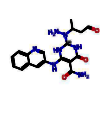 CC(CC=O)N(N)[C@H]1NC(=O)C(C(N)=O)=C(Nc2cnc3ccccc3c2)N1